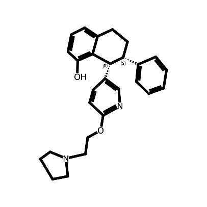 Oc1cccc2c1[C@@H](c1ccc(OCCN3CCCC3)nc1)[C@@H](c1ccccc1)CC2